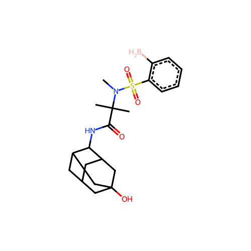 Bc1ccccc1S(=O)(=O)N(C)C(C)(C)C(=O)NC1C2CC3CC1CC(O)(C3)C2